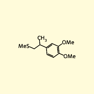 COc1ccc(C(C)CSC)cc1OC